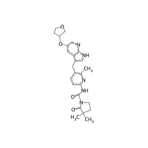 Cc1nc(NC(=O)N2CCC(C)(C)C2=O)ccc1Cc1c[nH]c2ncc(OC3CCOC3)cc12